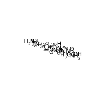 CC(N)(CO)C(=O)N1CCN(C(=O)Nc2ccn(-c3ccc(CCN4CC[C@@H](N)C4)cc3)c(=O)n2)CC1